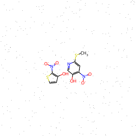 CSc1cc([N+](=O)[O-])c(O)cn1.O=[N+]([O-])c1sccc1O